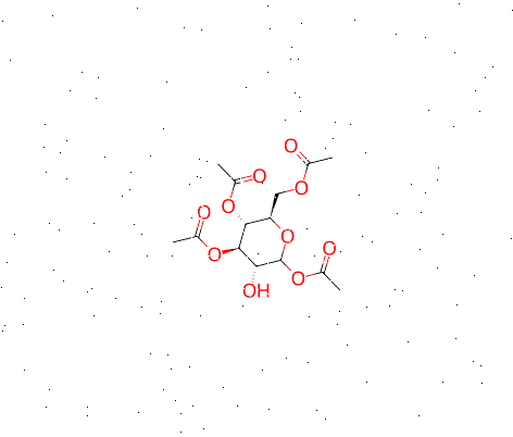 CC(=O)OC[C@H]1OC(OC(C)=O)[C@H](O)[C@@H](OC(C)=O)[C@@H]1OC(C)=O